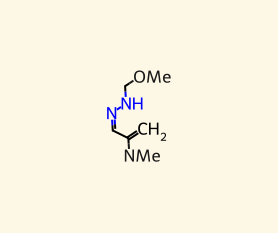 C=C(/C=N\NCOC)NC